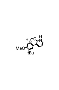 COc1cc(C)c(-c2ccc[nH]c2=O)cc1C(C)(C)C